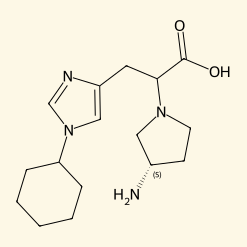 N[C@H]1CCN(C(Cc2cn(C3CCCCC3)cn2)C(=O)O)C1